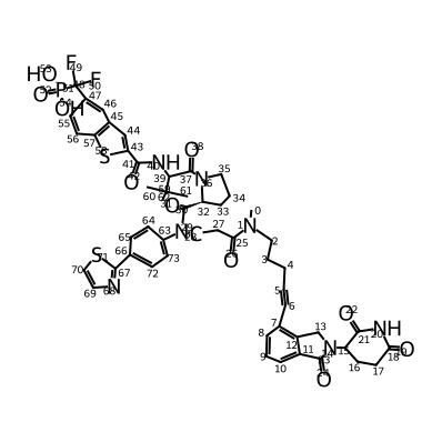 CN(CCCC#Cc1cccc2c1CN(C1CCC(=O)NC1=O)C2=O)C(=O)CCN(C(=O)[C@@H]1CCCN1C(=O)C(NC(=O)c1cc2cc(C(F)(F)P(=O)(O)O)ccc2s1)C(C)(C)C)c1ccc(-c2nccs2)cc1